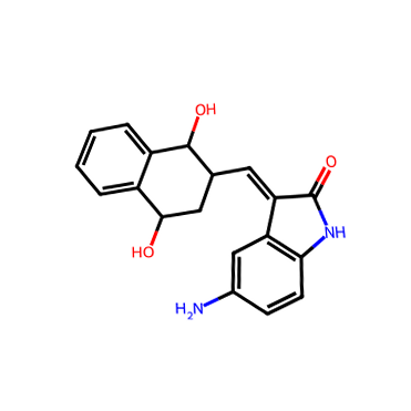 Nc1ccc2c(c1)C(=CC1CC(O)c3ccccc3C1O)C(=O)N2